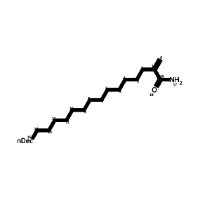 C=C(CCCCCCCCCCCCCCCCCCCCCCC)C(N)=O